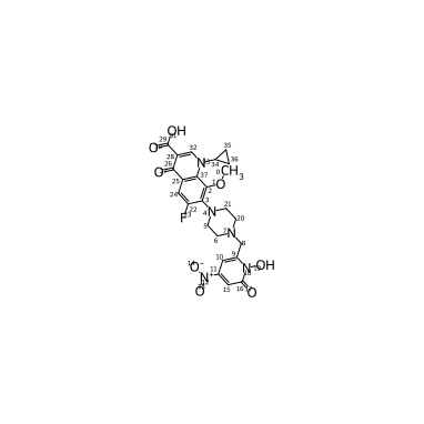 COc1c(N2CCN(Cc3cc([N+](=O)[O-])cc(=O)n3O)CC2)c(F)cc2c(=O)c(C(=O)O)cn(C3CC3)c12